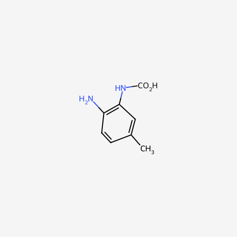 Cc1ccc(N)c(NC(=O)O)c1